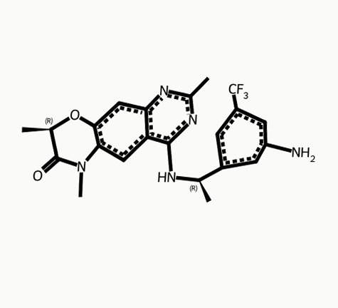 Cc1nc(N[C@H](C)c2cc(N)cc(C(F)(F)F)c2)c2cc3c(cc2n1)O[C@H](C)C(=O)N3C